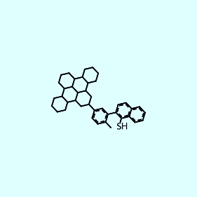 Cc1ccc(C2CC3C4CCCCC4C4CCCC5C6CCCCC6C(C2)C3C45)cc1-c1ccc2ccccc2c1S